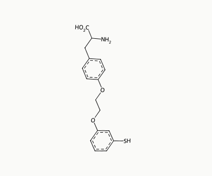 NC(Cc1ccc(OCCOc2cccc(S)c2)cc1)C(=O)O